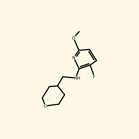 COc1ccc(F)c(NCC2CCOCC2)n1